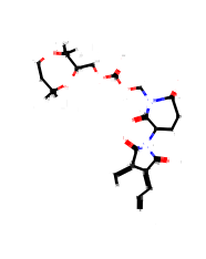 C=C/C=C1/C(=O)N(C2CCC(=O)N(COC(=O)OCC3OC(C)(C)CCOC3(C)C)C2=O)C(=O)/C1=C/C